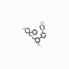 CN1CCN(c2cc(-c3cc(COCC4(c5ccccc5)CCNCC4)cc(C(F)(F)F)c3)ccn2)CC1